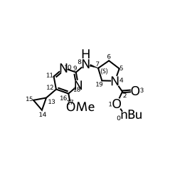 CCCCOC(=O)N1CC[C@H](Nc2ncc(C3CC3)c(OC)n2)C1